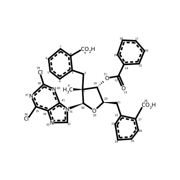 C[C@@]1(Cc2ccccc2C(=O)O)[C@H](OC(=O)c2ccccc2)[C@@H](Cc2ccccc2C(=O)O)O[C@H]1n1cnc2c(Cl)nc(Cl)nc21